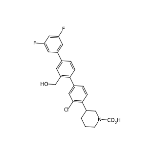 O=C(O)N1CCCC(c2ccc(-c3ccc(-c4cc(F)cc(F)c4)cc3CO)cc2Cl)C1